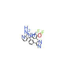 Cc1cc(C2(c3cccc(-c4cncnc4)c3)NC(N)c3ncccc32)cc(C)c1OC(F)F